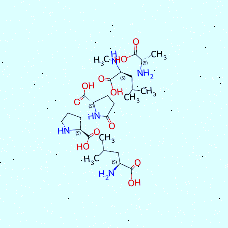 CC(C)C[C@H](N)C(=O)O.CN[C@@H](CC(C)C)C(=O)O.C[C@H](N)C(=O)O.O=C(O)[C@@H]1CCCN1.O=C1CC[C@@H](C(=O)O)N1